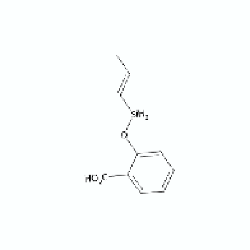 CC=C[SiH2]Oc1ccccc1C(=O)O